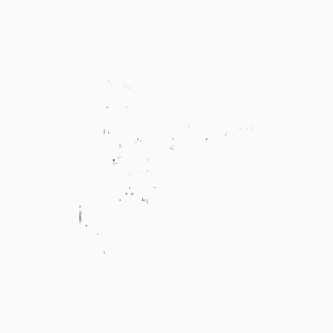 CC(C)(O)C1CCN(c2nc(N[C@@H]3CNC(=O)C3)nc3c2cnn3-c2cccc(C(F)(F)F)c2)CC1